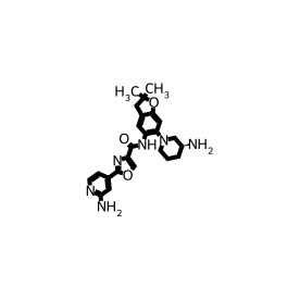 CC1(C)Cc2cc(NC(=O)c3coc(-c4ccnc(N)c4)n3)c(N3CCC[C@@H](N)C3)cc2O1